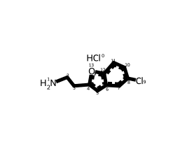 Cl.NCCc1cc2cc(Cl)ccc2o1